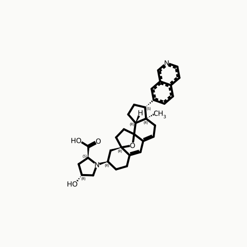 C[C@]12CC=C3C=C4CC[C@@H](N5C[C@H](O)C[C@H]5C(=O)O)C[C@]45CCC3(O5)[C@@H]1CC[C@@H]2c1ccc2ccncc2c1